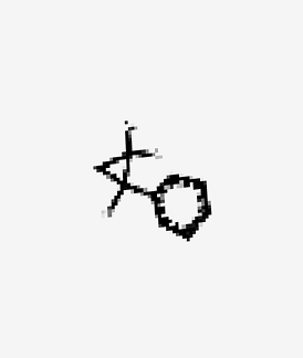 CC(=O)C1(Cl)CC1(Cl)c1ccccc1